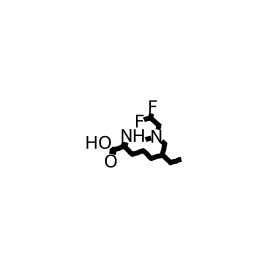 CCC(CCCC(=N)C(=O)O)CN(C)CC(F)F